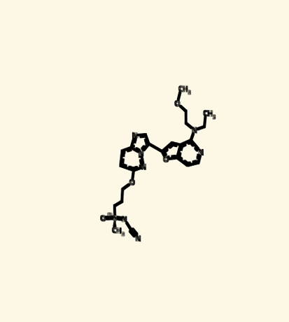 CCN(CCOC)c1nccc2oc(-c3cnc4ccc(OCCC[S@@](C)(=O)=NC#N)nn34)cc12